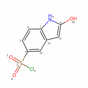 O=S(=O)(Cl)c1ccc2[nH]c(O)cc2c1